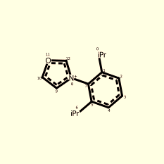 CC(C)c1cccc(C(C)C)c1-[n+]1ccoc1